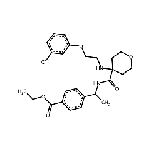 CCOC(=O)c1ccc(C(C)NC(=O)C2(NCCOc3cccc(Cl)c3)CCOCC2)cc1